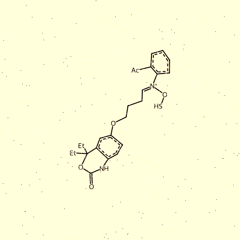 CCC1(CC)OC(=O)Nc2ccc(OCCCC=[N+](OS)c3ccccc3C(C)=O)cc21